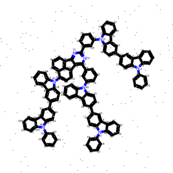 c1ccc(-n2c3ccccc3c3cc(-c4ccc5c(c4)c4ccccc4n5-c4cccc(-c5nc(-c6cccc(-n7c8ccccc8c8cc(-c9ccc%10c(c9)c9ccccc9n%10-c9ccccc9)ccc87)c6)c6c(n5)-c5cccc7c(-n8c9ccccc9c9cc(-c%10ccc%11c(c%10)c%10ccccc%10n%11-c%10ccccc%10)ccc98)ccc-6c57)c4)ccc32)cc1